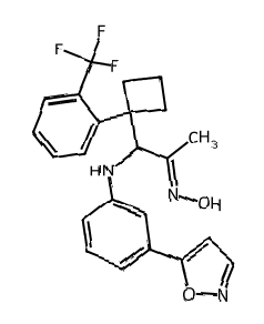 CC(=NO)C(Nc1cccc(-c2ccno2)c1)C1(c2ccccc2C(F)(F)F)CCC1